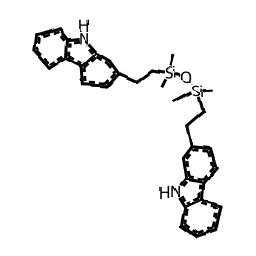 C[Si](C)(CCc1ccc2c(c1)[nH]c1ccccc12)O[Si](C)(C)CCc1ccc2c(c1)[nH]c1ccccc12